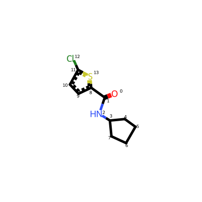 O=C(NC1CCCC1)c1ccc(Cl)s1